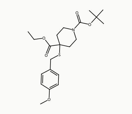 CCOC(=O)C1(SCc2ccc(OC)cc2)CCN(C(=O)OC(C)(C)C)CC1